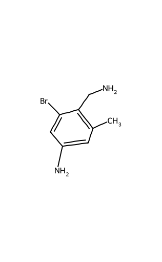 Cc1cc(N)cc(Br)c1CN